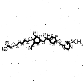 CSc1nccc(COc2ccc([C@H](C)Cc3cc(Cl)c(OCCCCCOCC(=O)O)c(C#N)c3)cc2)n1